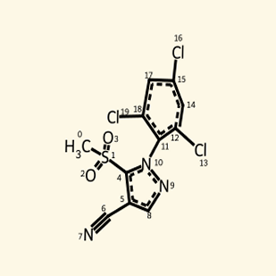 CS(=O)(=O)c1c(C#N)cnn1-c1c(Cl)cc(Cl)cc1Cl